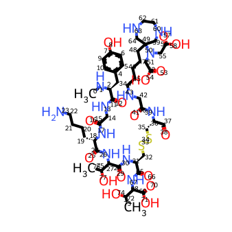 CN[C@@H](Cc1ccc(O)cc1)C(=O)NCC(=O)N[C@@H](CCCCN)C(=O)NC(C(=O)N[C@@H](CSSC[C@@H](C=O)NC(=O)CNCCCCCC1(N(CC(=O)O)CC(=O)O)CNCCNC1)C(=O)NC(C(=O)O)C(C)O)C(C)O